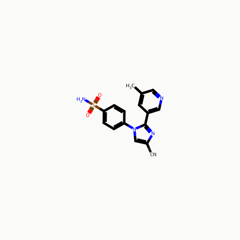 Cc1cncc(-c2nc(C#N)cn2-c2ccc(S(N)(=O)=O)cc2)c1